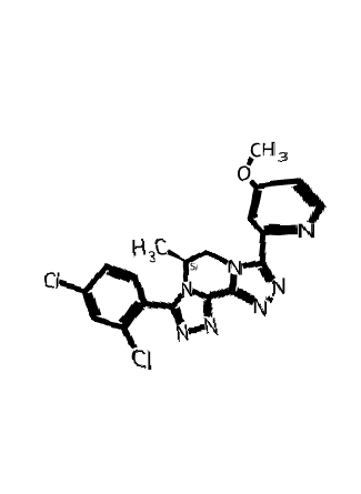 COc1ccnc(-c2nnc3n2C[C@H](C)n2c(-c4ccc(Cl)cc4Cl)nnc2-3)c1